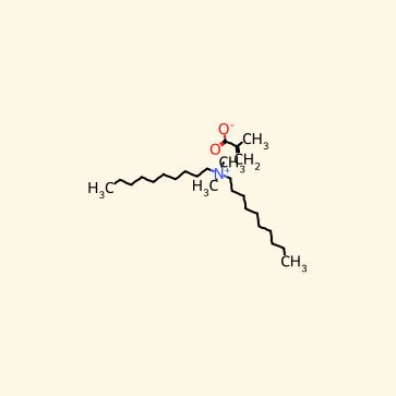 C=C(C)C(=O)[O-].CCCCCCCCCC[N+](C)(C)CCCCCCCCCC